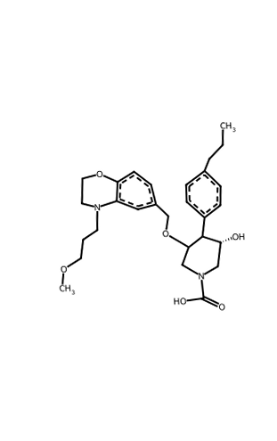 CCCc1ccc(C2C(OCc3ccc4c(c3)N(CCCOC)CCO4)CN(C(=O)O)C[C@H]2O)cc1